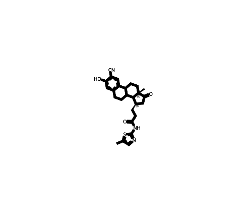 Cc1cnc(NC(=O)CC[C@@H]2CC(=O)[C@@]3(C)CCC4c5cc(C#N)c(O)cc5CCC4C23)s1